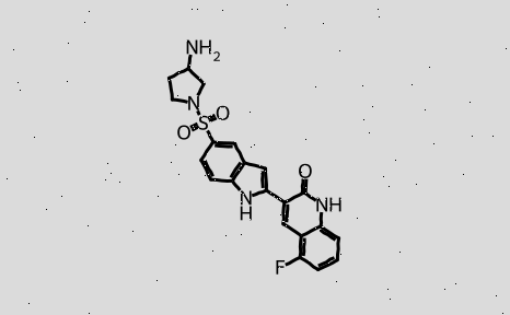 NC1CCN(S(=O)(=O)c2ccc3[nH]c(-c4cc5c(F)cccc5[nH]c4=O)cc3c2)C1